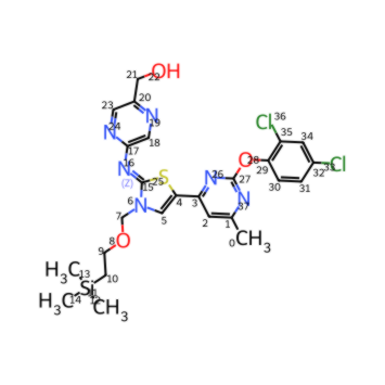 Cc1cc(-c2cn(COCC[Si](C)(C)C)/c(=N/c3cnc(CO)cn3)s2)nc(Oc2ccc(Cl)cc2Cl)n1